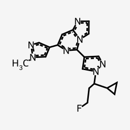 Cn1cc(-c2cc3nccn3c(-c3cnn(C(CCF)C4CC4)c3)n2)cn1